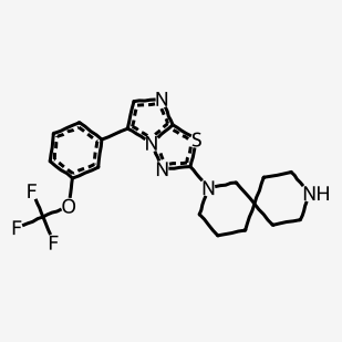 FC(F)(F)Oc1cccc(-c2cnc3sc(N4CCCC5(CCNCC5)C4)nn23)c1